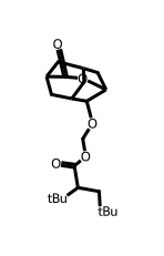 CC(C)(C)CC(C(=O)OCOC1C2CC3CC(C2)C(=O)OC1C3)C(C)(C)C